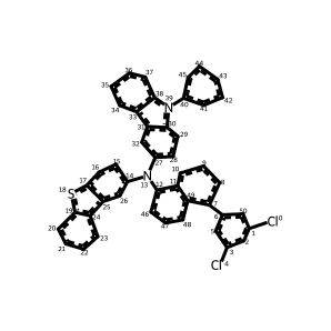 Clc1cc(Cl)cc(-c2cccc3c(N(c4ccc5sc6ccccc6c5c4)c4ccc5c(c4)c4ccccc4n5-c4ccccc4)cccc23)c1